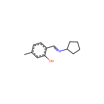 Cc1ccc(/C=N/C2CCCC2)c(O)c1